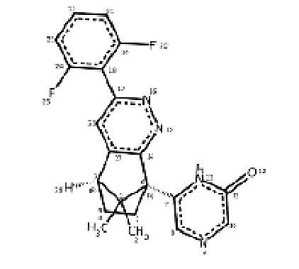 CC1(C)[C@H]2CC[C@]1(c1cncc(=O)[nH]1)c1nnc(-c3c(F)cccc3F)cc12